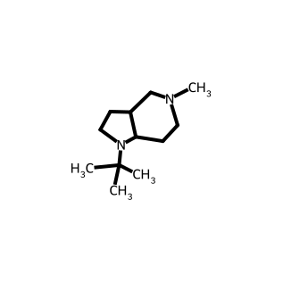 CN1CCC2C(CCN2C(C)(C)C)C1